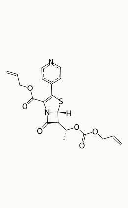 C=CCOC(=O)O[C@H](C)[C@H]1C(=O)N2C(C(=O)OCC=C)=C(c3ccncc3)S[C@H]12